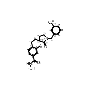 O=C(NO)c1ccc2c(c1)C[C@]1(CC2)CCN(Cc2cccc(Cl)c2)C1=O